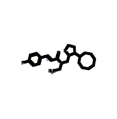 CCN(CC1SCCC1C1CCCCCCC1)C(=O)/C=C/c1ccc(F)cc1